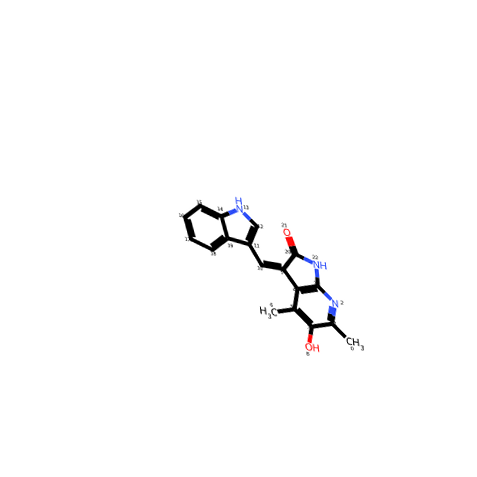 Cc1nc2c(c(C)c1O)C(=Cc1c[nH]c3ccccc13)C(=O)N2